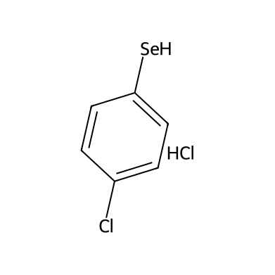 Cl.Clc1ccc([SeH])cc1